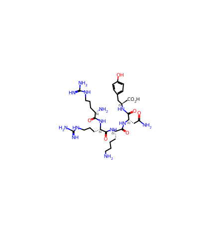 N=C(N)NCCC[C@H](NC(=O)[C@@H](N)CCCNC(=N)N)C(=O)N[C@@H](CCCCN)C(=O)N[C@@H](CC(N)=O)C(=O)N[C@@H](Cc1ccc(O)cc1)C(=O)O